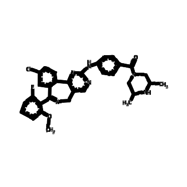 COc1cccc(F)c1C1=NCc2cnc(Nc3ccc(C(=O)N4CC(C)NC(C)C4)cc3)nc2-c2ccc(Cl)cc21